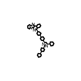 c1ccc(-c2ccc(-c3nc(-c4ccccc4)cc(-c4ccc(-c5ccc(-c6nc7c(nc8ccccn87)c7ccccc67)cc5)cc4)n3)cc2)cc1